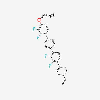 C=CC1CC=C(c2ccc(-c3ccc(-c4ccc(OCCCCCCC)c(F)c4F)cc3)c(F)c2F)CC1